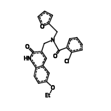 CCOc1ccc2[nH]c(=O)c(CN(Cc3ccco3)C(=O)c3ccccc3Cl)cc2c1